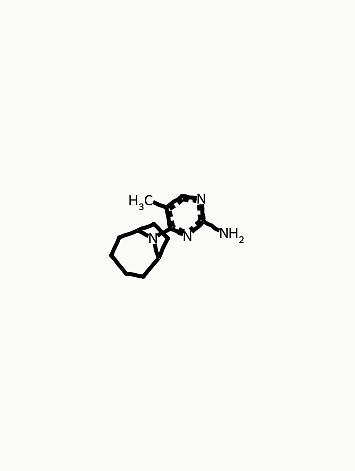 Cc1cnc(N)nc1N1C2CCCCC1CC2